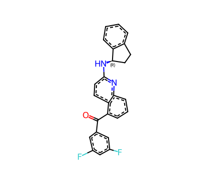 O=C(c1cc(F)cc(F)c1)c1cccc2nc(N[C@@H]3CCc4ccccc43)ccc12